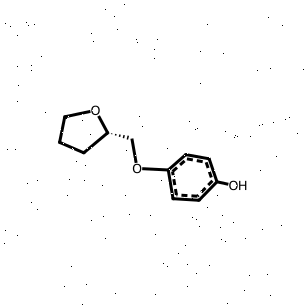 Oc1ccc(OC[C@@H]2CCCO2)cc1